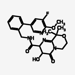 COc1ncc(-c2ccccc2CNC(=O)C2N=C3N(CCOC3(C)C)C(=O)C2O)cc1F